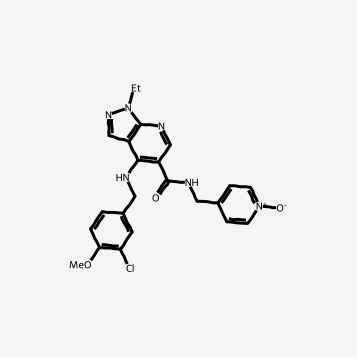 CCn1ncc2c(NCc3ccc(OC)c(Cl)c3)c(C(=O)NCc3cc[n+]([O-])cc3)cnc21